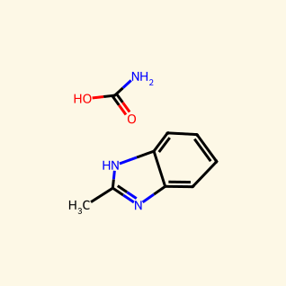 Cc1nc2ccccc2[nH]1.NC(=O)O